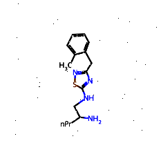 CCCC(N)CNc1nc(Cc2ccccc2C)ns1